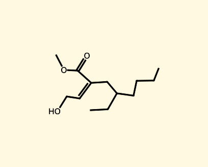 CCCCC(CC)CC(=CCO)C(=O)OC